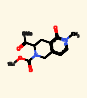 COC(=O)C1Cc2c(ccn(C)c2=O)CN1C(=O)OC(C)(C)C